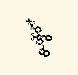 COC(=O)c1c(N2CCC[C@H](NC(=O)OC(C)(C)C)C2)n(Cc2ccccc2)c2c(=O)n(Cc3nccc4ccccc34)cnc12